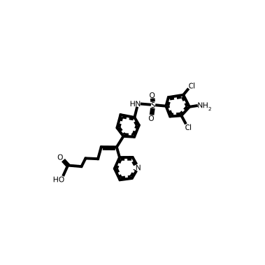 Nc1c(Cl)cc(S(=O)(=O)Nc2ccc(C(=CCCCC(=O)O)c3cccnc3)cc2)cc1Cl